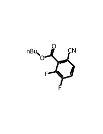 CCCCOC(=O)c1c(C#N)ccc(F)c1F